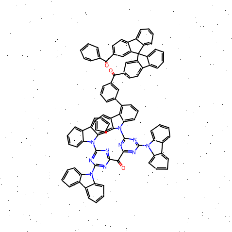 O=C(c1ccccc1)c1ccc2c(c1)C1(c3ccccc3-2)c2ccccc2-c2ccc(C(=O)c3cccc(-c4cccc5c4c4ccccc4n5-c4nc(C(=O)c5nc(-n6c7ccccc7c7ccccc76)nc(-n6c7ccccc7c7ccccc76)n5)nc(-n5c6ccccc6c6ccccc65)n4)c3)cc21